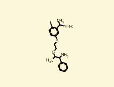 CCCCCCC(C)c1cc(SCCOC(C)C(N)c2ccccc2)ccc1I